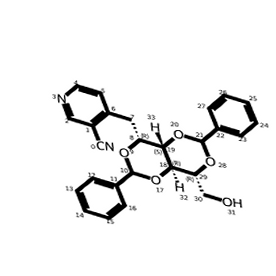 N#Cc1cnccc1C[C@H]1OC(c2ccccc2)O[C@H]2[C@H]1OC(c1ccccc1)O[C@@H]2CO